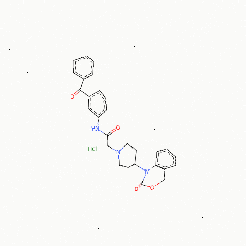 Cl.O=C(CN1CCC(N2C(=O)OCc3ccccc32)CC1)Nc1cccc(C(=O)c2ccccc2)c1